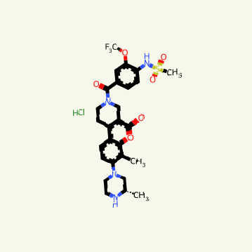 Cc1c(N2CCN[C@@H](C)C2)ccc2c3c(c(=O)oc12)CN(C(=O)c1ccc(NS(C)(=O)=O)c(OC(F)(F)F)c1)CC3.Cl